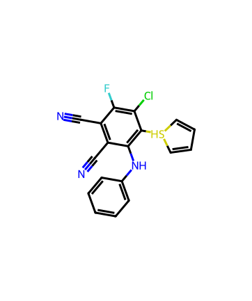 N#Cc1c(F)c(Cl)c([SH]2C=CC=C2)c(Nc2ccccc2)c1C#N